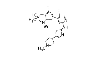 CC(C)N1CC(C)(C)Cc2c(F)cc(-c3nc(Nc4ccc(C5CCN(C)CC5)cn4)ncc3F)cc21